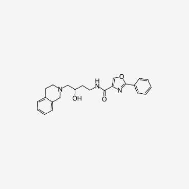 O=C(NCCC(O)CN1CCc2ccccc2C1)c1coc(-c2ccccc2)n1